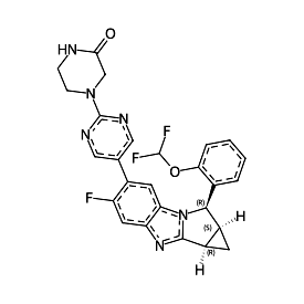 O=C1CN(c2ncc(-c3cc4c(cc3F)nc3n4[C@@H](c4ccccc4OC(F)F)[C@H]4C[C@@H]34)cn2)CCN1